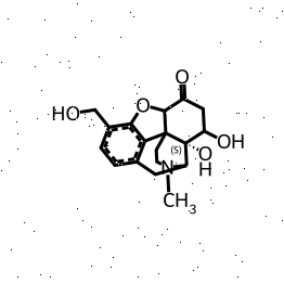 CN1CCC23c4c5ccc(CO)c4OC2C(=O)CC(O)[C@@]3(O)C1C5